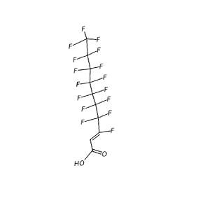 O=C(O)C=C(F)C(F)(F)C(F)(F)C(F)(F)C(F)(F)C(F)(F)C(F)(F)C(F)(F)F